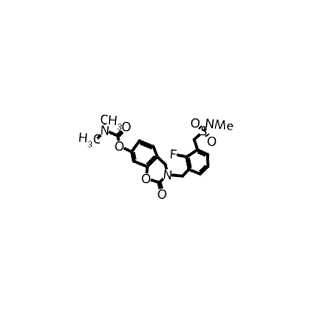 CNS(=O)(=O)Cc1cccc(CN2Cc3ccc(OC(=O)N(C)C)cc3OC2=O)c1F